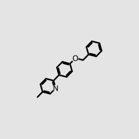 Cc1ccc(-c2ccc(OCc3ccccc3)cc2)nc1